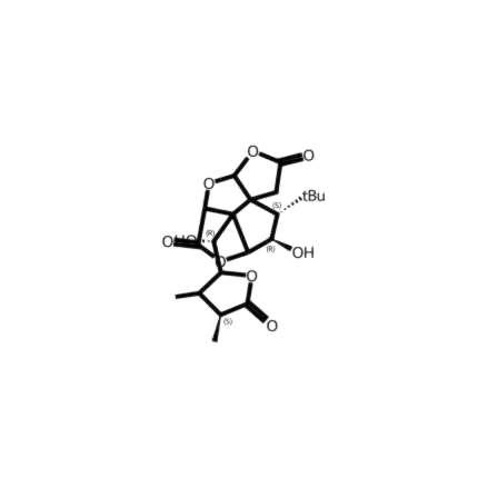 CC1C([C@H](O)C23C4OC5OC(=O)CC52[C@H](C(C)(C)C)[C@@H](O)C3OC4=O)OC(=O)[C@H]1C